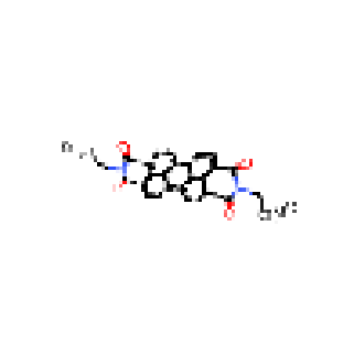 CCOC(=O)CN1C(=O)c2ccc3c4ccc5c6c(ccc(c7ccc(c2c37)C1=O)c64)C(=O)N(CC(=O)OCC)C5=O